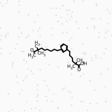 CC(=O)C(C)(C)CCCCCCc1cccc(CCCCC(C)(C)C(=O)O)c1